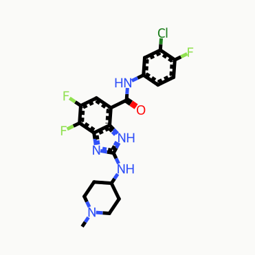 CN1CCC(Nc2nc3c(F)c(F)cc(C(=O)Nc4ccc(F)c(Cl)c4)c3[nH]2)CC1